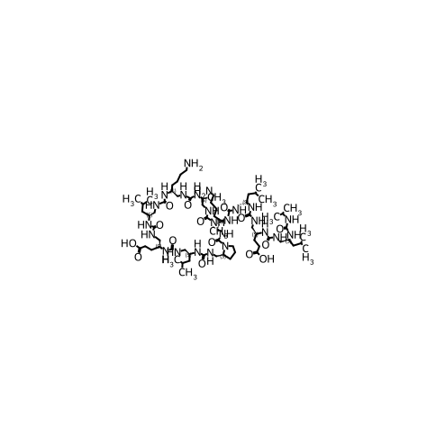 CNC(=O)NC[C@H](C)NC(=O)NC[C@H](CCCCN)NC(=O)NC[C@H](CC(C)C)NC(=O)NC[C@H](CCC(=O)O)NC(=O)NC[C@H](CC(C)C)NC(=O)NC[C@@H]1CCCN1C(=O)NC[C@H](CCCCN)NC(=O)NC[C@H](CC(C)C)NC(=O)NC[C@H](CCC(=O)O)NC(=O)NC[C@H](CC(C)C)NC(=O)NC(C)C